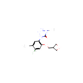 CCCCc1cc(-n2nnn(C)c2=O)c(OCC2COC2)cc1F